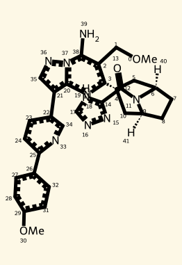 COCc1c([C@@H]2C[C@H]3CC[C@@H](C2)N3C(=O)c2nnc[nH]2)nc2c(-c3ccc(-c4ccc(OC)cc4)nc3)cnn2c1N